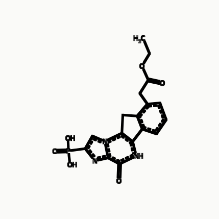 CCOC(=O)Cc1cccc2c1Cc1c-2[nH]c(=O)c2nc(P(=O)(O)O)cn12